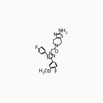 COc1cc(-c2nc(-c3ccc(F)cc3)n(CC(=O)N3CCc4nc(N)sc4CC3)n2)ccc1F